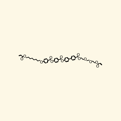 C=CC(=O)OCCCCCCCCOc1ccc(C(=O)Oc2ccc(C(=O)Oc3ccc(-c4ccc(C(=O)OCCOCCOCCOC(=O)C=C)cc4)cc3)cc2)cc1